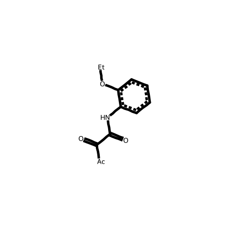 CCOc1ccccc1NC(=O)C(=O)C(C)=O